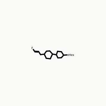 CCCCCCC1CCC(C2CCC(C/C=C/F)CC2)CC1